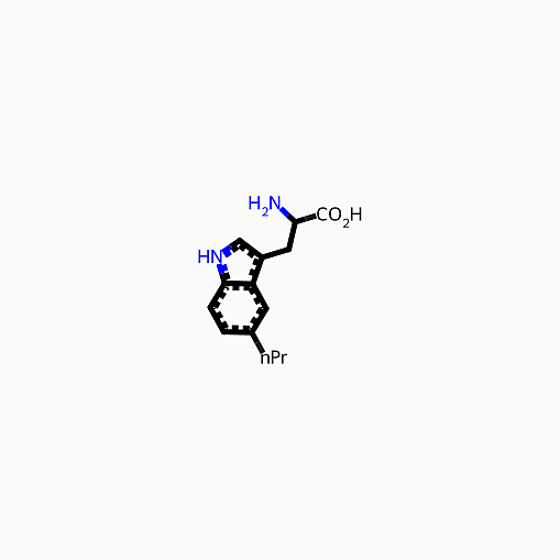 CCCc1ccc2[nH]cc(CC(N)C(=O)O)c2c1